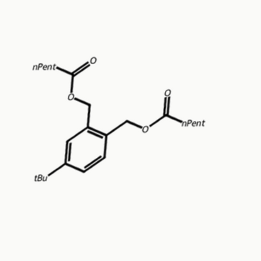 CCCCCC(=O)OCc1ccc(C(C)(C)C)cc1COC(=O)CCCCC